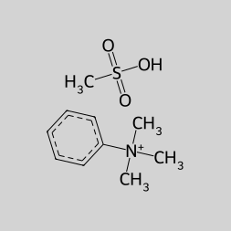 CS(=O)(=O)O.C[N+](C)(C)c1ccccc1